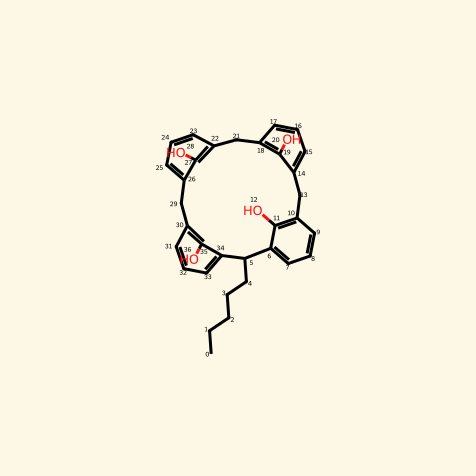 CCCCCC1c2cccc(c2O)Cc2cccc(c2O)Cc2cccc(c2O)Cc2cccc1c2O